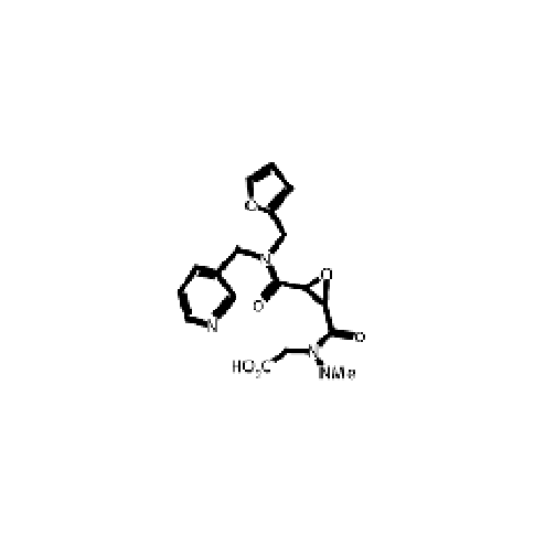 CNN(CC(=O)O)C(=O)C1OC1C(=O)N(Cc1cccnc1)Cc1ccco1